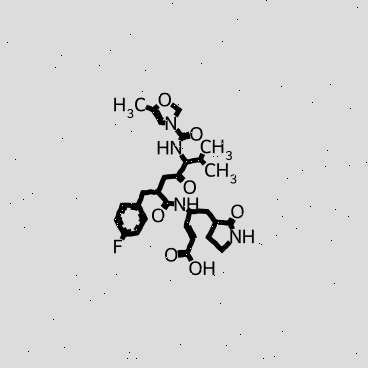 CC1=CN(C(=O)NC(C(=O)CC(Cc2ccc(F)cc2)C(=O)NC(/C=C/C(=O)O)CC2CCNC2=O)C(C)C)CO1